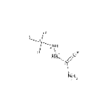 CC(C)(C)NNC(N)=O